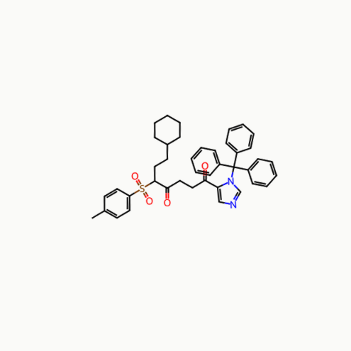 Cc1ccc(S(=O)(=O)C(CCC2CCCCC2)C(=O)CCC(=O)c2cncn2C(c2ccccc2)(c2ccccc2)c2ccccc2)cc1